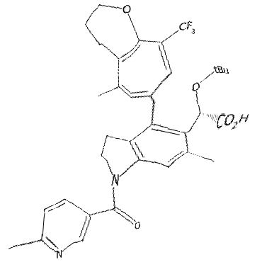 Cc1ccc(C(=O)N2CCc3c2cc(C)c([C@H](OC(C)(C)C)C(=O)O)c3-c2cc(C(F)(F)F)c3c(c2C)CCCO3)cn1